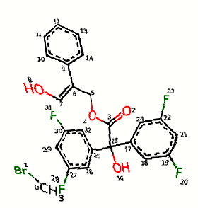 CBr.O=C(OCC(=CO)c1ccccc1)C(O)(c1cc(F)cc(F)c1)c1cc(F)cc(F)c1